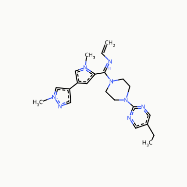 C=C/N=C(\c1cc(-c2cnn(C)c2)cn1C)N1CCN(c2ncc(CC)cn2)CC1